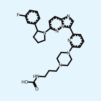 O=C(O)NCCCN1CCN(c2cccc(-c3cnc4ccc(N5CCCC5c5cccc(F)c5)nn34)n2)CC1